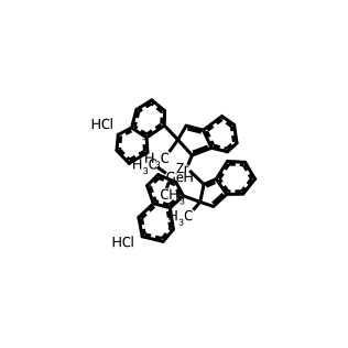 Cl.Cl.[CH3][GeH]([CH3])[Zr]([C]1=c2ccccc2=CC1(C)c1cccc2ccccc12)[C]1=c2ccccc2=CC1(C)c1cccc2ccccc12